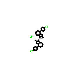 CC1=[C]([Zr+2][C]2=C(C)C=C3C2=CC=CCC3c2ccc(Cl)cc2)C2=CC=CCC(c3ccc(Cl)cc3)C2=C1.[Cl-].[Cl-]